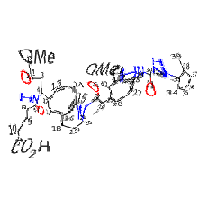 COC(=O)CC(NC(=O)CCCC(=O)O)c1ccc2c(c1)CCCN2C(=O)Cc1ccc(NC(=O)Nc2ccccc2C)c(OC)c1